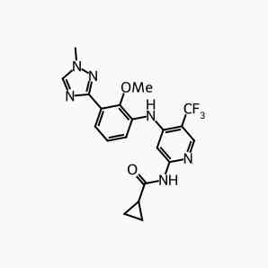 COc1c(Nc2cc(NC(=O)C3CC3)ncc2C(F)(F)F)cccc1-c1ncn(C)n1